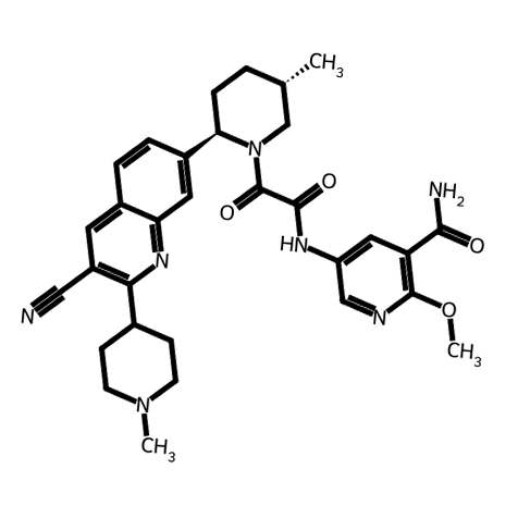 COc1ncc(NC(=O)C(=O)N2C[C@@H](C)CC[C@@H]2c2ccc3cc(C#N)c(C4CCN(C)CC4)nc3c2)cc1C(N)=O